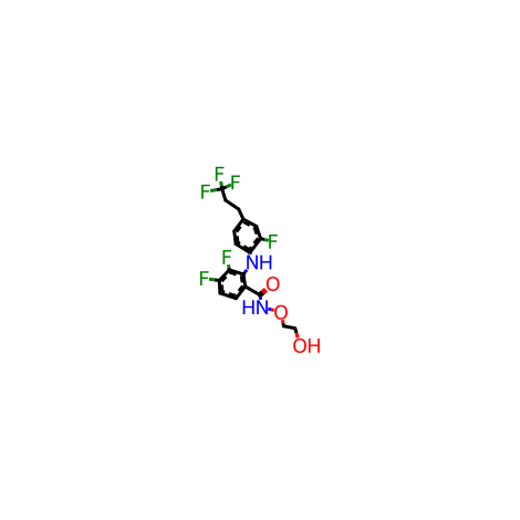 O=C(NOCCO)c1ccc(F)c(F)c1Nc1ccc(CCC(F)(F)F)cc1F